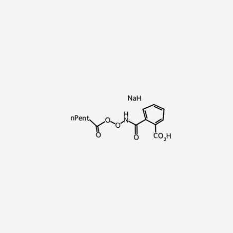 CCCCCC(=O)OONC(=O)c1ccccc1C(=O)O.[NaH]